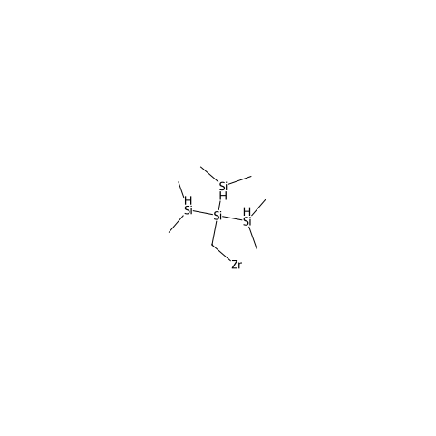 C[SiH](C)[Si]([CH2][Zr])([SiH](C)C)[SiH](C)C